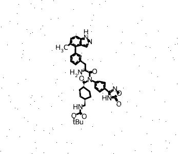 Cc1ccc2[nH]ncc2c1-c1cccc(C[C@H](N)C(=O)N(c2ccc(-c3noc(=O)[nH]3)cc2)C(=O)[C@H]2CC[C@H](CNC(=O)OC(C)(C)C)CC2)c1